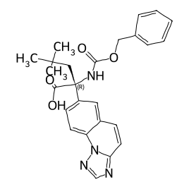 CC(C)(C)C[C@](NC(=O)OCc1ccccc1)(C(=O)O)c1ccc2c(ccc3ncnn32)c1